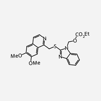 CCOC(=O)OCn1c(SCc2nccc3cc(OC)c(OC)cc23)nc2ccccc21